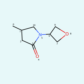 CC1CC(=O)N(C2COC2)C1